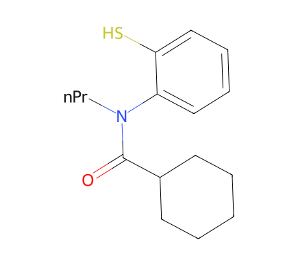 CCCN(C(=O)C1CCCCC1)c1ccccc1S